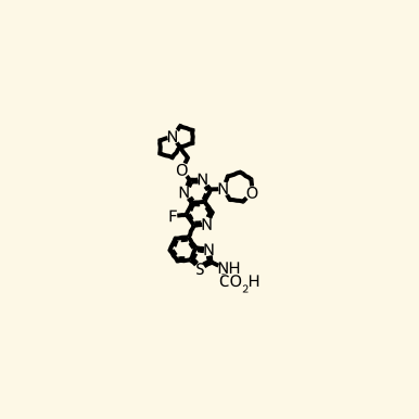 O=C(O)Nc1nc2c(-c3ncc4c(N5CCCOCC5)nc(OCC56CCCN5CCC6)nc4c3F)cccc2s1